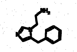 NCCn1cncc1Cc1ccccc1